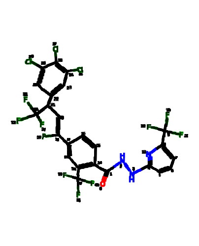 O=C(NNc1cccc(C(F)(F)F)n1)c1ccc(C(F)=CC(c2cc(Cl)c(Cl)c(Cl)c2)C(F)(F)F)cc1C(F)(F)F